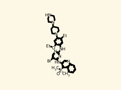 CCOc1cc(N2CCC(N3CCNCC3)CC2)c(CC)cc1Nc1ncc(Br)c(Nc2cnc3ccccc3c2P(C)(C)=O)n1